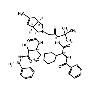 CC[C@H](NC(=O)[C@@H]1[C@H]2C=C(C)C[C@H]2CN1CC(=O)[C@@H](NC(=O)[C@@H](NC(=O)c1cnccn1)C1CCCCC1)C(C)(C)C)C(O)C(=O)N[C@@H](C)c1ccccc1